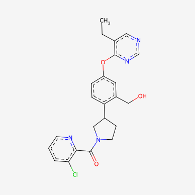 CCc1cncnc1Oc1ccc(C2CCN(C(=O)c3ncccc3Cl)C2)c(CO)c1